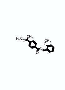 COc1ccccc1COC(=O)c1ccc(C(C)OC)cc1